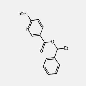 CCCCCCCCCCc1ccc(C(=O)OC(CC)c2ccccc2)cn1